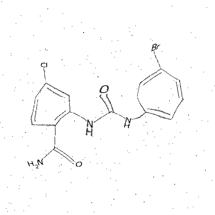 NC(=O)c1ccc(Cl)cc1NC(=O)Nc1cccc(Br)c1